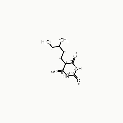 CCC(C)CCC1C(=O)NC(=O)NC1=O